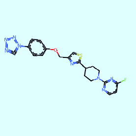 Fc1ccnc(N2CCC(c3nc(COc4ccc(-n5cnnn5)cc4)cs3)CC2)n1